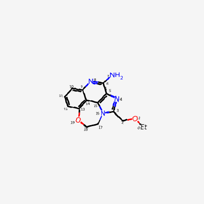 CCOCc1nc2c(N)nc3cccc4c3c2n1CCO4